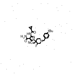 CC(C)(C)c1ccc(CN2CCC(CC#N)(n3cc(C(N)=O)c(NC(=O)C4CC4)n3)C(F)C2)cc1